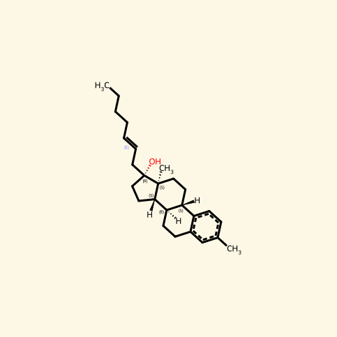 CCCC/C=C/C[C@]1(O)CC[C@H]2[C@@H]3CCc4cc(C)ccc4[C@H]3CC[C@@]21C